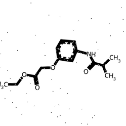 CCOC(=O)COc1cccc(NC(=O)C(C)C)c1